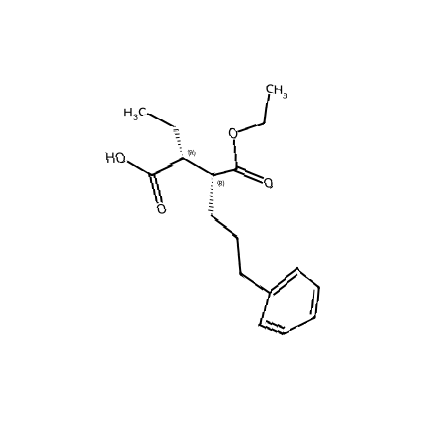 CCOC(=O)[C@H](CCCc1ccccc1)[C@@H](CC)C(=O)O